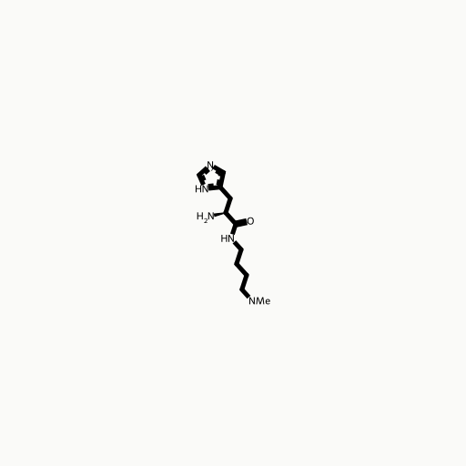 CNCCCCNC(=O)[C@@H](N)Cc1cnc[nH]1